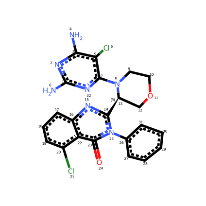 Nc1nc(N)c(Cl)c(N2CCOC[C@H]2c2nc3cccc(Cl)c3c(=O)n2-c2ccccc2)n1